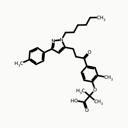 CCCCCCn1nc(-c2ccc(C)cc2)cc1CCC(=O)c1ccc(OC(C)(C)C(=O)O)c(C)c1